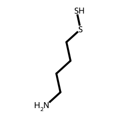 NCCCCSS